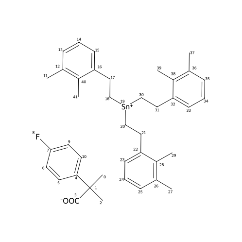 CC(C)(C(=O)[O-])c1ccc(F)cc1.Cc1cccc(C[CH2][Sn+]([CH2]Cc2cccc(C)c2C)[CH2]Cc2cccc(C)c2C)c1C